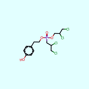 O=P(CC(Cl)CCl)(OCCc1ccc(O)cc1)OCC(Cl)CCl